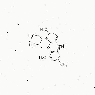 CCC(CC)N1C(C)=C[C]=C([N+](=O)[O-])C1Oc1c(C)cc(C)cc1C